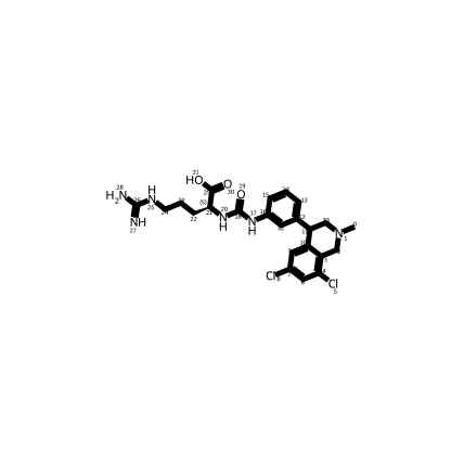 CN1Cc2c(Cl)cc(Cl)cc2C(c2cccc(NC(=O)N[C@@H](CCCNC(=N)N)C(=O)O)c2)C1